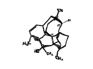 CC1=C2OC3C4(C)CCC5(CC4C(C)(O)C(C)(C)C)[C@H]4CC(C=C1)C2[C@@]35CCN4C#N